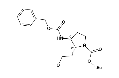 CC(C)(C)OC(=O)N1CC[C@H](NC(=O)OCc2ccccc2)[C@H]1CCO